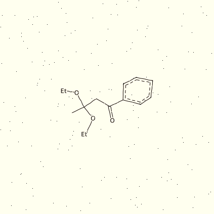 CCOC(C)(CC(=O)c1ccccc1)OCC